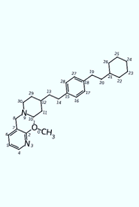 COc1ncccc1CN1CCC(CCc2ccc(CCC3CCCCC3)cc2)CC1